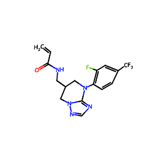 C=CC(=O)NCC1CN(c2ccc(C(F)(F)F)cc2F)c2ncnn2C1